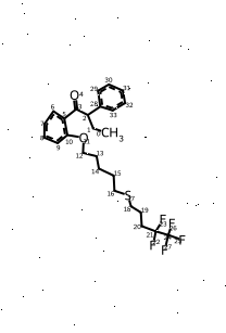 CCC(C(=O)c1ccccc1OCCCCCSCCCC(F)(F)C(F)(F)F)c1ccccc1